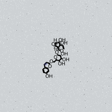 C[C@]12O[C@H]1[C@H](O)[C@]1(O)C=CO[C@@H](OC3OC(COC(=O)/C=C\c4ccc(O)cc4)C(O)C(O)C3O)[C@@H]12